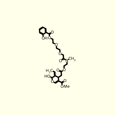 C/C=C1\C(O)OC=C(C(=O)OC)C1CC(=O)OCCN(C)C(=O)COCCOCCOC(=O)c1ccccc1O